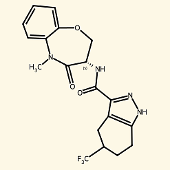 CN1C(=O)[C@@H](NC(=O)c2n[nH]c3c2CC(C(F)(F)F)CC3)COc2ccccc21